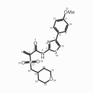 C=C(C(=O)Nc1nc(-c2ccc(OC)cc2)cs1)S(=O)(=O)CC1CCOCC1